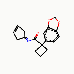 O=C(N=C1CC=CC1)C1(c2ccc3c(c2)OCO3)CCC1